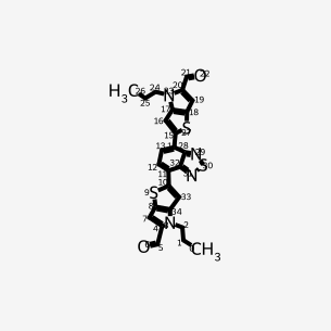 CCCn1c(C=O)cc2sc(-c3ccc(-c4cc5c(cc(C=O)n5CCC)s4)c4nsnc34)cc21